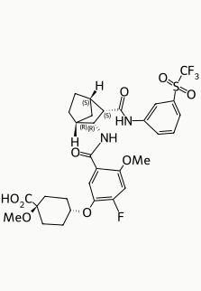 COc1cc(F)c(O[C@H]2CC[C@@](OC)(C(=O)O)CC2)cc1C(=O)N[C@@H]1[C@@H]2CC[C@@H](C2)[C@@H]1C(=O)Nc1cccc(S(=O)(=O)C(F)(F)F)c1